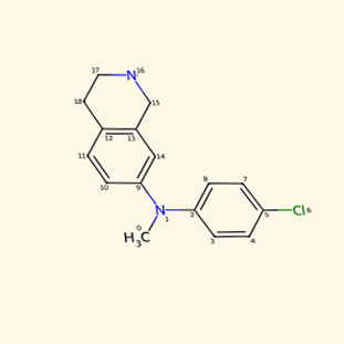 CN(c1ccc(Cl)cc1)c1ccc2c(c1)C[N]CC2